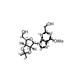 COc1nc(CO)nc2c1ncn2[C@@H]1O[C@H](CO)[C@H]2OC(C)(C)O[C@H]21